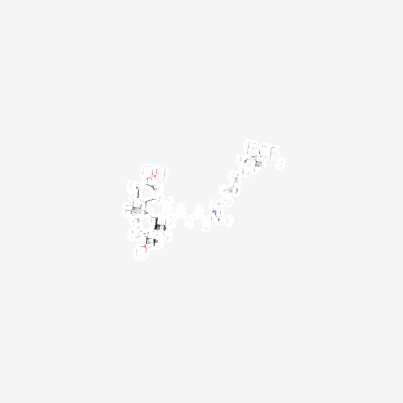 CN(CCCCC[C@@H]1Cc2cc(O)ccc2[C@@H]2[C@@H]1[C@@H]1CCC(=O)[C@@]1(C)C[C@@H]2F)CCCSCCCC(F)(F)C(F)(F)F